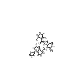 Cc1cc(-n2ccnc2)c2cccc(OCc3c(Cl)cncc3CNC(=O)c3c(C)cccc3C)c2n1